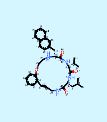 CC(C)C[C@@H]1NC(=O)[C@@H](C(C)C)NC(=O)[C@@H](Cc2ccc3ccccc3c2)NCCOc2ccccc2/C=C/CNC1=O